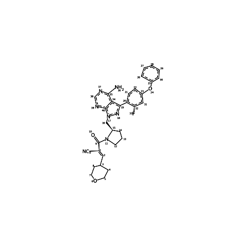 N#C/C(=C\C1CCOCC1)C(=O)N1CCC[C@@H]1Cn1nc(-c2ccc(Oc3ccccc3)cc2F)c2c(N)ncnc21